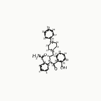 NC(=O)c1ccccc1N(CCN1CCN(c2ccccc2)CC1)C(=O)c1ccccc1O